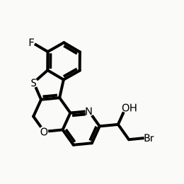 OC(CBr)c1ccc2c(n1)-c1c(sc3c(F)cccc13)CO2